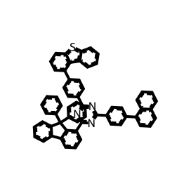 c1ccc(C2(c3ccccc3)c3ccccc3-c3cccc(-c4nc(-c5ccc(-c6cccc7ccccc67)cc5)nc(-c5ccc(-c6cccc7sc8ccccc8c67)cc5)n4)c32)cc1